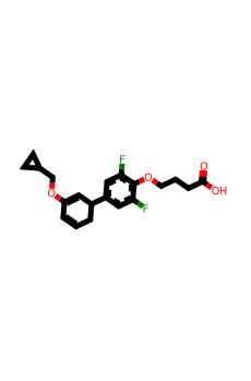 O=C(O)CCCOc1c(F)cc(C2C=C(OCC3CC3)C=CC2)cc1F